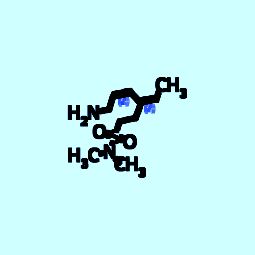 C/C=C(\C=C/CN)CCS(=O)(=O)N(C)C